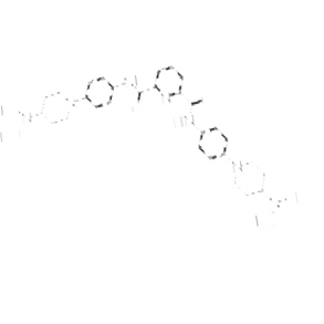 CN(C)C1CCN(c2ccc(NC(=O)c3cccc(C(=O)Nc4ccc(N5CCC(N(C)C)CC5)cc4)n3)cc2)CC1